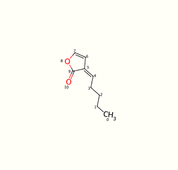 CCCCC=C1C=COC1=O